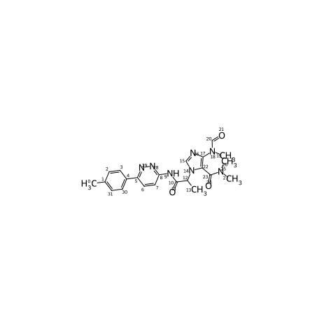 Cc1ccc(-c2ccc(NC(=O)C(C)n3cnc(N(C)C=O)c3C(=O)N(C)C)nn2)cc1